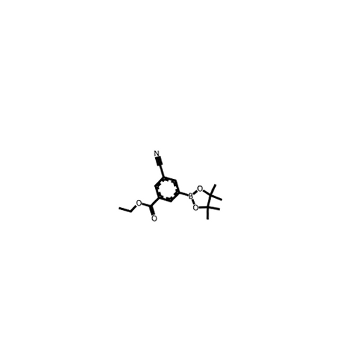 CCOC(=O)c1cc(C#N)cc(B2OC(C)(C)C(C)(C)O2)c1